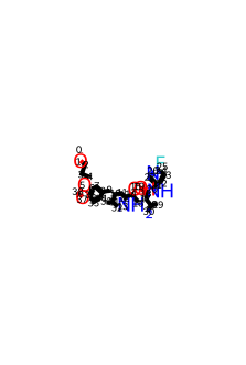 COCCCOc1cc(C[C@@H](C[C@H](N)[C@@H](O)C[C@H](C(=O)Nc2ccc(F)nc2)C(C)C)C(C)C)ccc1OC